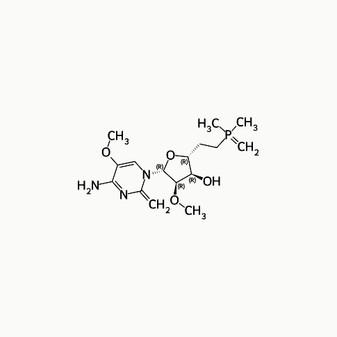 C=C1N=C(N)C(OC)=CN1[C@@H]1O[C@H](CCP(=C)(C)C)[C@@H](O)[C@H]1OC